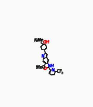 CNCC1(O)CCC(C2C=c3cc(NC(=O)c4cccc(C(F)(F)F)n4)c(OC)cc3=N2)CC1